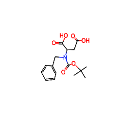 CC(C)(C)OC(=O)N(Cc1ccccc1)C(CC(=O)O)C(=O)O